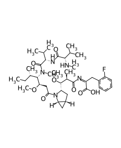 CC[C@H](C)[C@@H]([C@@H](CC(=O)N1[C@H](C(OC)[C@@H](C)C(=O)/N=C(/Cc2ccccc2F)C(=O)O)C[C@@H]2C[C@@H]21)OC)N(C)C(=O)[C@@H](NC(=O)[C@@H](NC)C(C)C)C(C)C